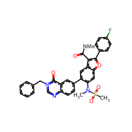 CNC(=O)c1c(-c2ccc(F)cc2)oc2cc(N(C)S(C)(=O)=O)c(-c3ccc4ncn(Cc5ccccc5)c(=O)c4c3)cc12